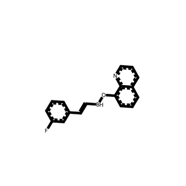 Fc1cccc(C=CBOc2cccc3cccnc23)c1